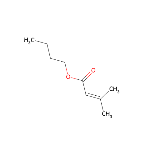 CCCCOC(=O)C=C(C)C